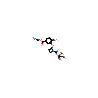 CCOC(=O)c1ccc(C)c(OC2CCN2C(=O)OC(C)(C)C)c1